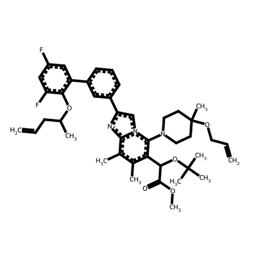 C=CCOC1(C)CCN(c2c(C(OC(C)(C)C)C(=O)OC)c(C)c(C)c3nc(-c4cccc(-c5cc(F)cc(F)c5OC(C)CC=C)c4)cn23)CC1